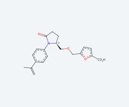 C=C(C)c1ccc(N2C(=O)CC[C@H]2COCc2ccc(C(=O)O)o2)cc1